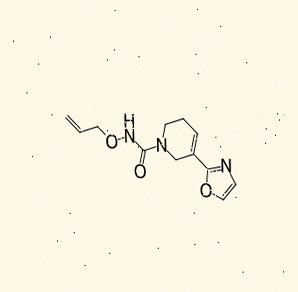 C=CCONC(=O)N1CCC=C(c2ncco2)C1